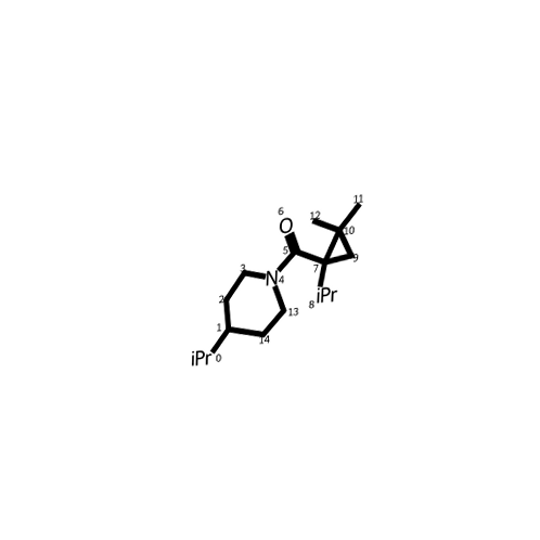 CC(C)C1CCN(C(=O)C2(C(C)C)CC2(C)C)CC1